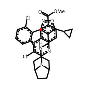 COC(=O)c1ccc2nc(N3C4CCC3CC(NCc3c(-c5c(Cl)cccc5Cl)noc3C3CC3)C4)c(Cl)nc2c1